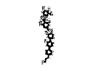 FCCCc1ccc(-c2ccc(-c3ccc4nc(-c5cc(F)c(C(F)(F)Oc6cc(F)c(F)c(F)c6)c(F)c5)sc4c3)c(F)c2)cc1